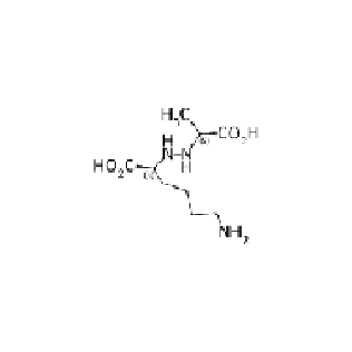 C[C@H](NN[C@@H](CCCCN)C(=O)O)C(=O)O